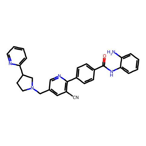 N#Cc1cc(CN2CCC(c3ccccn3)C2)cnc1-c1ccc(C(=O)Nc2ccccc2N)cc1